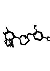 Cc1cc(C2CCCN(Cc3ccc(C(F)(F)F)cc3F)C2)n2ncnc2n1